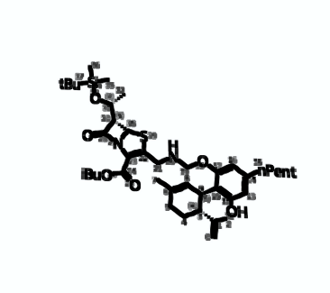 C=C(C)[C@@H]1CCC(C)=C[C@H]1c1c(O)cc(CCCCC)cc1OCNCC1=C(C(=O)OCC(C)C)N2C(=O)[C@H]([C@@H](C)O[Si](C)(C)C(C)(C)C)C2S1